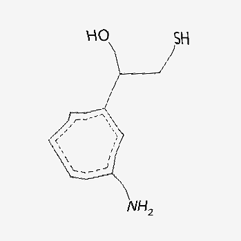 Nc1cccc(C(O)CS)c1